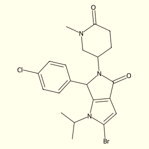 CC(C)n1c(Br)cc2c1C(c1ccc(Cl)cc1)N(C1CCC(=O)N(C)C1)C2=O